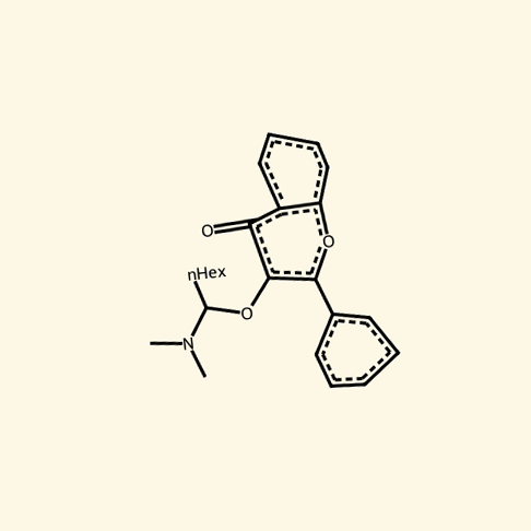 CCCCCCC(Oc1c(-c2ccccc2)oc2ccccc2c1=O)N(C)C